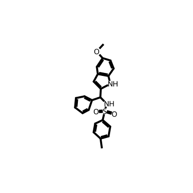 COc1ccc2[nH]c(C(NS(=O)(=O)c3ccc(C)cc3)c3ccccc3)cc2c1